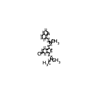 CCN(C)CCc1ccc(CCN(C)CCc2cccc3ccccc23)c2ccc(Cl)cc12